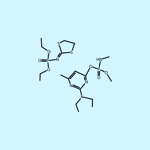 CCN(CC)c1nc(C)cc(OP(=O)(NC)OC)n1.CCOP(=O)(N=C1SCCS1)OCC